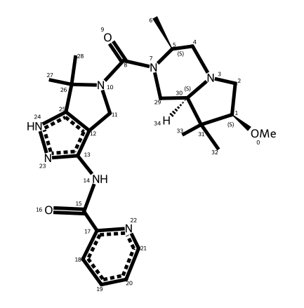 CO[C@@H]1CN2C[C@H](C)N(C(=O)N3Cc4c(NC(=O)c5ccccn5)n[nH]c4C3(C)C)C[C@@H]2C1(C)C